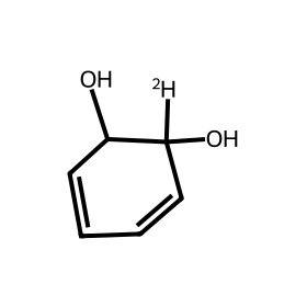 [2H]C1(O)C=CC=CC1O